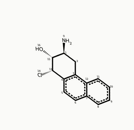 N[C@H]1Cc2c(ccc3ccccc23)[C@H](Cl)[C@@H]1O